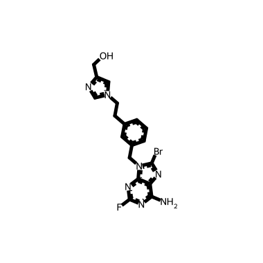 Nc1nc(F)nc2c1nc(Br)n2Cc1cccc(CCn2cnc(CO)c2)c1